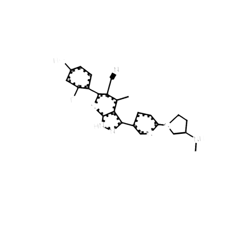 CNC1CCN(c2ccc(-c3n[nH]c4nc(-c5ccc(O)cc5F)c(C#N)c(C)c34)cn2)C1